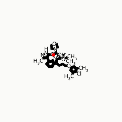 Cc1cc(OCCCc2c(C(O)OC(C)(C)C)n(CCN3CCOCC3)c3c(-c4c(C)n[nH]c4C)cccc23)cc(C)c1Cl